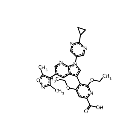 CCOc1cc(C(=O)O)nc(OCC)c1-c1cn(-c2cnc(C3CC3)nc2)c2ncc(-c3c(C)noc3C)cc12